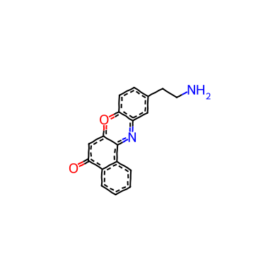 NCCc1ccc2oc3cc(=O)c4ccccc4c-3nc2c1